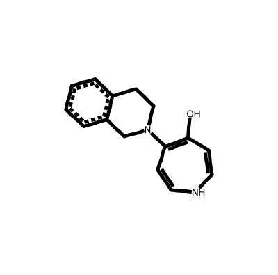 OC1=C(N2CCc3ccccc3C2)C=CNC=C1